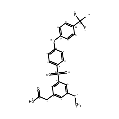 COc1cc(CC(=O)O)cc(S(=O)(=O)c2ccc(Oc3ccc(C(F)(F)F)cc3)cc2)c1